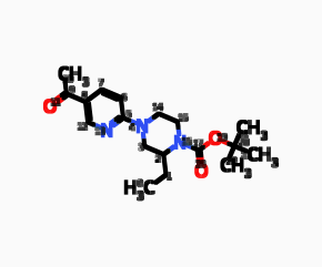 CCC1CN(c2ccc(C(C)=O)cn2)CCN1C(=O)OC(C)(C)C